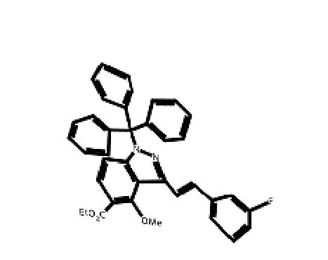 CCOC(=O)c1ccc2c(c(C=Cc3cccc(F)c3)nn2C(c2ccccc2)(c2ccccc2)c2ccccc2)c1OC